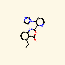 CCc1cccc2nc(-c3ncccc3-n3ccnc3)oc(=O)c12